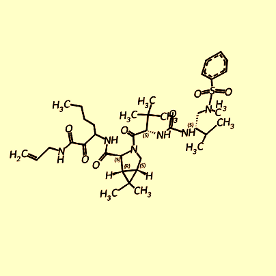 C=CCNC(=O)C(=O)C(CCCC)NC(=O)[C@@H]1[C@@H]2[C@H](CN1C(=O)[C@@H](NC(=O)N[C@H](CN(C)S(=O)(=O)c1ccccc1)C(C)C)C(C)(C)C)C2(C)C